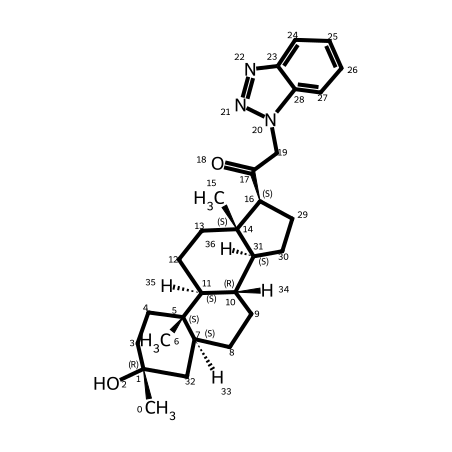 C[C@@]1(O)CC[C@@]2(C)[C@@H](CC[C@@H]3[C@@H]2CC[C@]2(C)[C@@H](C(=O)Cn4nnc5ccccc54)CC[C@@H]32)C1